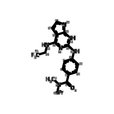 CCCN(C)C(=O)c1ccc(Nc2nc(NCC(F)(F)F)c3ccnc-3[nH]2)cc1